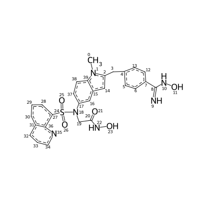 Cn1c(Cc2ccc(C(=N)NO)cc2)cc2cc(N(CC(=O)NO)S(=O)(=O)c3cccc4cccnc34)ccc21